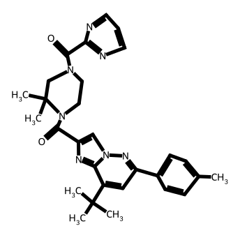 Cc1ccc(-c2cc(C(C)(C)C)c3nc(C(=O)N4CCN(C(=O)c5ncccn5)CC4(C)C)cn3n2)cc1